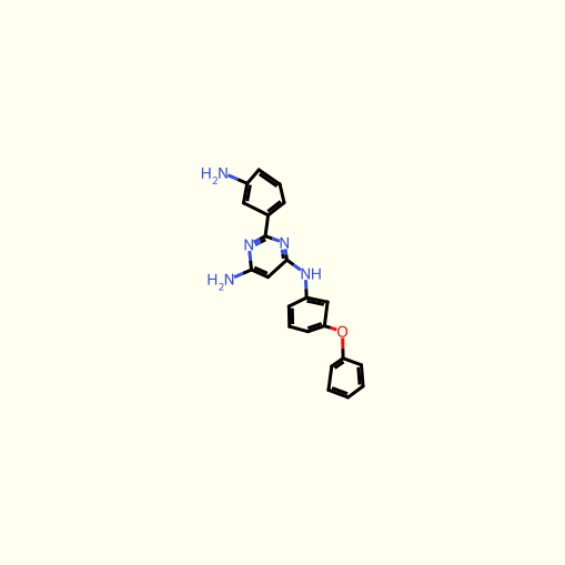 Nc1cccc(-c2nc(N)cc(Nc3cccc(Oc4ccccc4)c3)n2)c1